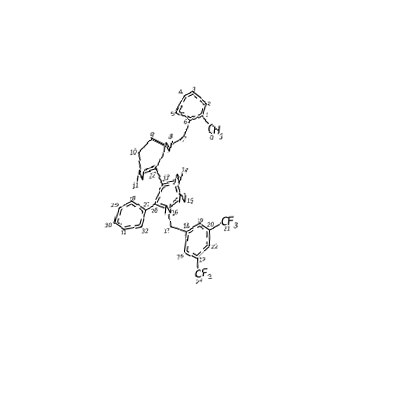 Cc1ccccc1CN1CCN=C1c1nnn(Cc2cc(C(F)(F)F)cc(C(F)(F)F)c2)c1-c1ccccc1